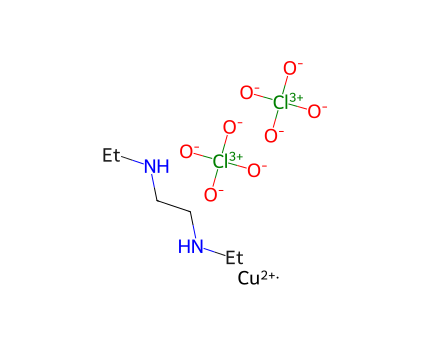 CCNCCNCC.[Cu+2].[O-][Cl+3]([O-])([O-])[O-].[O-][Cl+3]([O-])([O-])[O-]